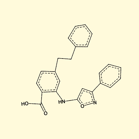 O=C(O)c1ccc(CCc2ccccc2)cc1Nc1cc(-c2ccccc2)no1